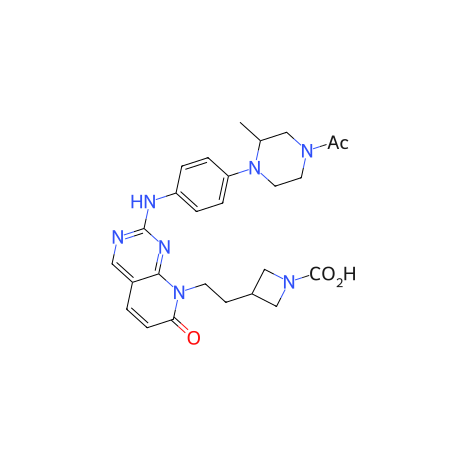 CC(=O)N1CCN(c2ccc(Nc3ncc4ccc(=O)n(CCC5CN(C(=O)O)C5)c4n3)cc2)C(C)C1